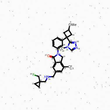 COC1CC(c2cccc(N3Cc4c(cc(CNCC5(CF)CC5)cc4C(F)(F)F)C3=O)c2)(c2nncn2C)C1